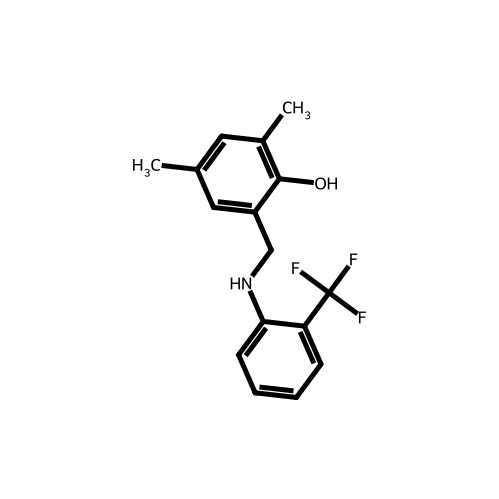 Cc1cc(C)c(O)c(CNc2ccccc2C(F)(F)F)c1